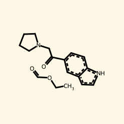 CCOC=O.O=C(CN1CCCC1)c1ccc2[nH]ccc2c1